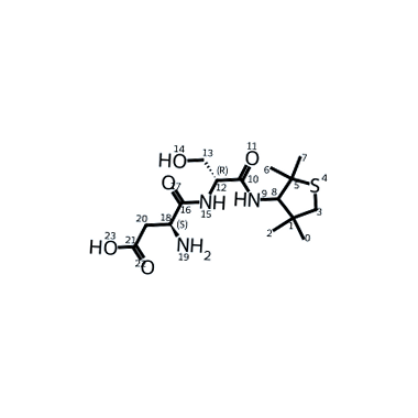 CC1(C)CSC(C)(C)C1NC(=O)[C@@H](CO)NC(=O)[C@@H](N)CC(=O)O